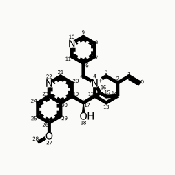 C=CC1C[N+]2(Cc3cccnc3)CCC1CC2[C@@H](O)c1ccnc2ccc(OC)cc12